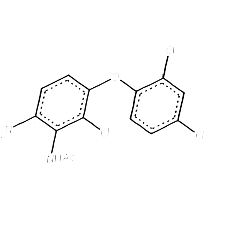 CC(=O)Nc1c([N+](=O)[O-])ccc(Oc2ccc(Cl)cc2Cl)c1Cl